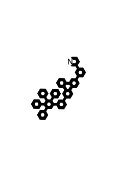 c1ccc(-c2cc(-c3cccc(-c4ccc5c6ccc(-c7cccc(-c8cccnc8)c7)cc6c6ccccc6c5c4)c3)c(-c3ccccc3)c(-c3ccccc3)c2-c2ccccc2)cc1